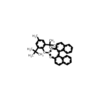 Cc1cc(C(C)(C)C)c(Op2oc3ccc4ccccc4c3c3c(ccc4ccccc43)o2)c(C(C)(C)C)c1